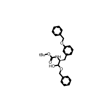 CC(C)(C)OC(=O)N[C@@H](Cc1cccc(OCc2ccccc2)c1)C(O)OCc1ccccc1